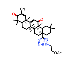 CC(=O)OCCN/N=C(\N=N)[C@]12CCC(C)(C)CC1[C@H]1C(=O)C=C3[C@@]4(C)C=C(C#N)C(=O)C(C)(C)C4CC[C@@]3(C)[C@]1(C)CC2